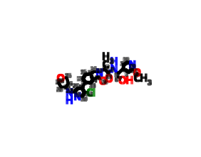 COc1cc([C@@H](CO)NC(=O)[C@@H](C)N2Cc3ccc(-c4cc(NC5CCOCC5)ncc4Cl)cc3C2=O)ccn1